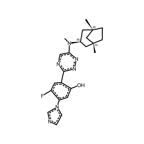 CN(c1cnc(-c2cc(F)c(-n3ccnc3)cc2O)nn1)[C@H]1C[C@]2(C)CC[C@](C)(C1)C2